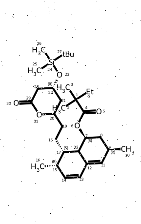 CCC(C)(C)C(=O)O[C@H]1C[C@@H](C)C=C2C=C[C@H](C)[C@H](CCC3C[C@@H](O[Si](C)(C)C(C)(C)C)CC(=O)O3)C21